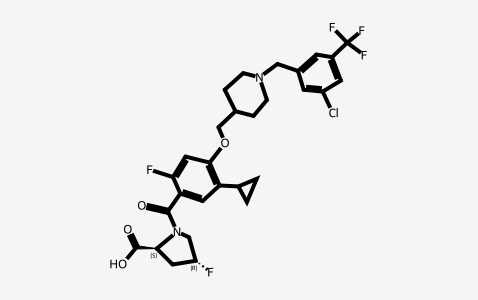 O=C(O)[C@@H]1C[C@@H](F)CN1C(=O)c1cc(C2CC2)c(OCC2CCN(Cc3cc(Cl)cc(C(F)(F)F)c3)CC2)cc1F